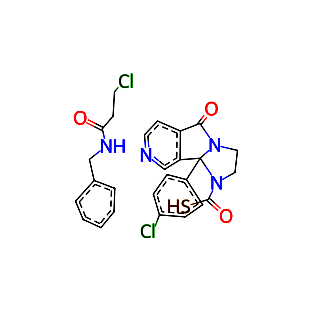 O=C(CCCl)NCc1ccccc1.O=C(S)N1CCN2C(=O)c3ccncc3C12c1ccc(Cl)cc1